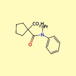 CCCN(C(=O)C1(C(=O)O)CCCC1)c1ccccc1